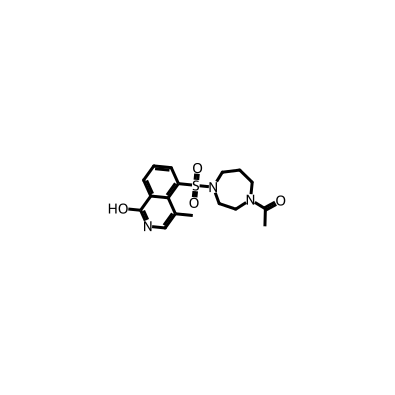 CC(=O)N1CCCN(S(=O)(=O)c2cccc3c(O)ncc(C)c23)CC1